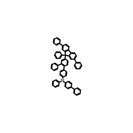 c1ccc(-c2ccc(N(c3ccccc3)c3ccc(-c4ccc(C5(c6ccccc6)c6cc(-c7ccccc7)ccc6-c6ccc(-c7ccccc7)cc65)cc4-c4ccccc4)cc3)cc2)cc1